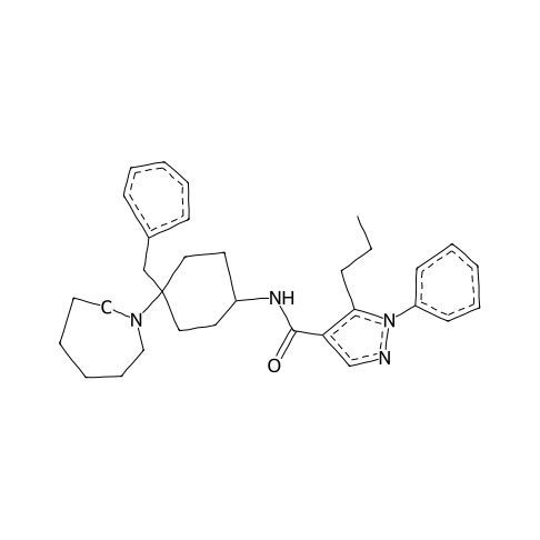 CCCc1c(C(=O)NC2CCC(Cc3ccccc3)(N3CCCCCC3)CC2)cnn1-c1ccccc1